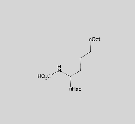 CCCCCCCCCCCC(CCCCCC)NC(=O)O